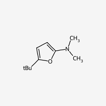 CN(C)c1ccc(C(C)(C)C)o1